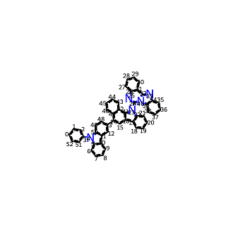 c1ccc(-n2c3ccccc3c3cc(-c4cc5c6ccccc6n(-c6nc7ccccc7c7nc8ccccc8n67)c5c5ccccc45)ccc32)cc1